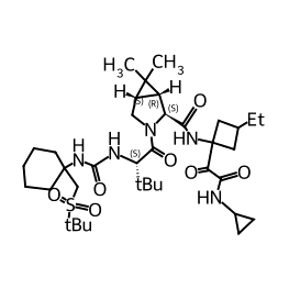 CCC1CC(NC(=O)[C@@H]2[C@@H]3[C@H](CN2C(=O)[C@@H](NC(=O)NC2(CS(=O)(=O)C(C)(C)C)CCCCC2)C(C)(C)C)C3(C)C)(C(=O)C(=O)NC2CC2)C1